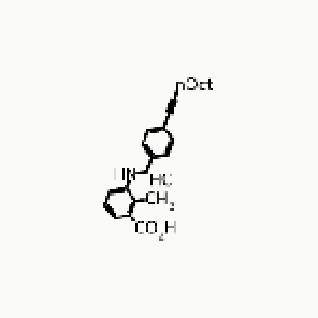 CCCCCCCCC#Cc1ccc(CNc2cccc(C(=O)O)c2C)cc1.Cl